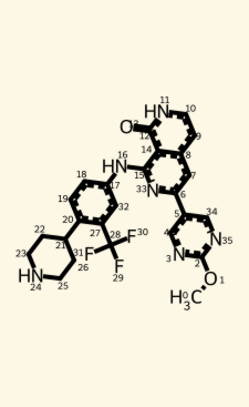 COc1ncc(-c2cc3cc[nH]c(=O)c3c(Nc3ccc(C4CCNCC4)c(C(F)(F)F)c3)n2)cn1